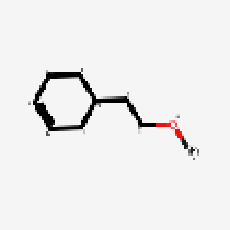 CC(C)OCCC1CC=CCC1